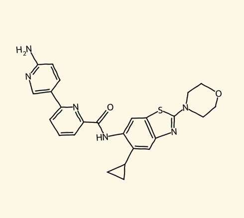 Nc1ccc(-c2cccc(C(=O)Nc3cc4sc(N5CCOCC5)nc4cc3C3CC3)n2)cn1